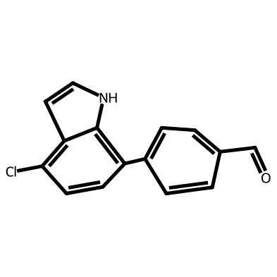 O=Cc1ccc(-c2ccc(Cl)c3cc[nH]c23)cc1